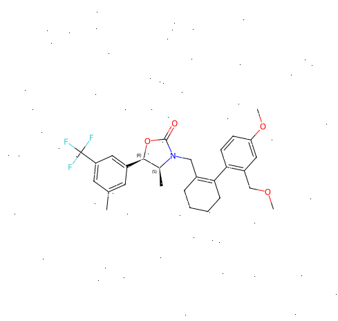 COCc1cc(OC)ccc1C1=C(CN2C(=O)O[C@H](c3cc(C)cc(C(F)(F)F)c3)[C@@H]2C)CCCC1